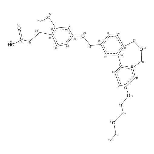 CCOCCOc1ccc2c(c1)COCc1ccc(COc3ccc4c(c3)OCC4CC(=O)O)cc1-2